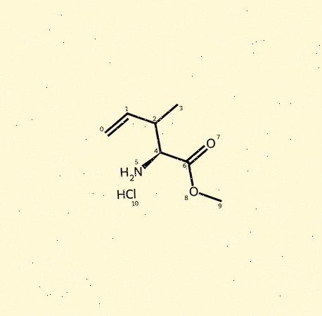 C=CC(C)[C@H](N)C(=O)OC.Cl